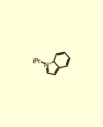 CC(C)[N+]1=CC=C2C=CC=CC21